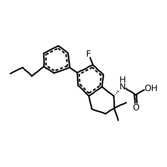 CCCc1cccc(-c2cc3c(cc2F)[C@H](NC(=O)O)C(C)(C)CC3)c1